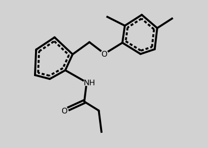 CCC(=O)Nc1ccccc1COc1ccc(C)cc1C